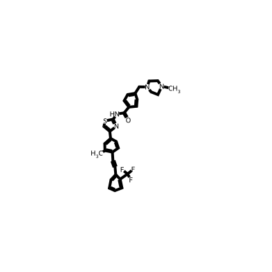 Cc1cc(-c2csc(NC(=O)c3ccc(CN4CCN(C)CC4)cc3)n2)ccc1C#Cc1ccccc1C(F)(F)F